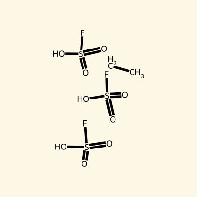 CC.O=S(=O)(O)F.O=S(=O)(O)F.O=S(=O)(O)F